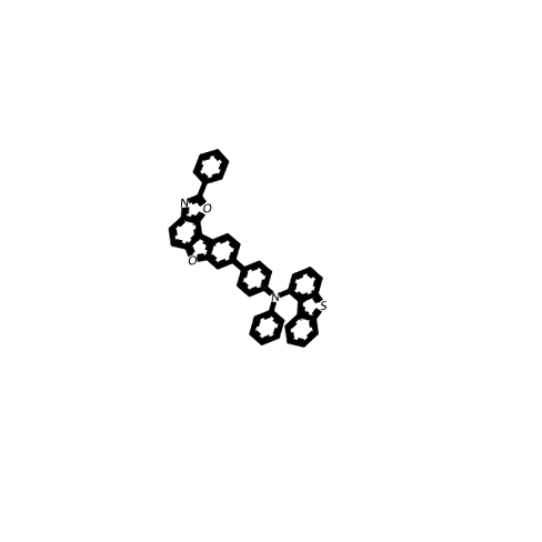 c1ccc(-c2nc3ccc4oc5cc(-c6ccc(N(c7ccccc7)c7cccc8sc9ccccc9c78)cc6)ccc5c4c3o2)cc1